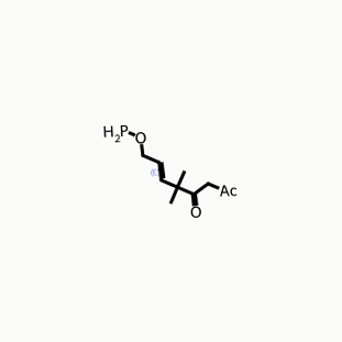 CC(=O)CC(=O)C(C)(C)/C=C/COP